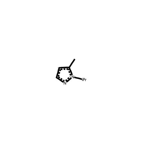 Cc1[c]cnn1C(C)C